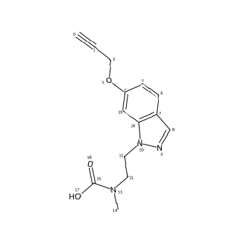 C#CCOc1ccc2cnn(CCN(C)C(=O)O)c2c1